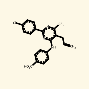 C=CCc1c(Nc2ccc(C(=O)O)cc2)nc(-c2ccc(Cl)cc2)nc1C(F)(F)F